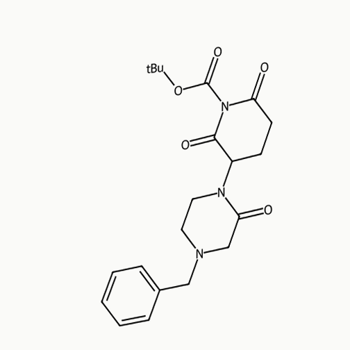 CC(C)(C)OC(=O)N1C(=O)CCC(N2CCN(Cc3ccccc3)CC2=O)C1=O